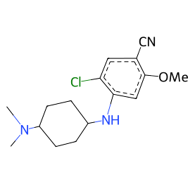 COc1cc(NC2CCC(N(C)C)CC2)c(Cl)cc1C#N